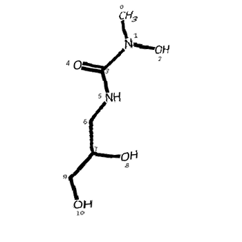 CN(O)C(=O)NCC(O)CO